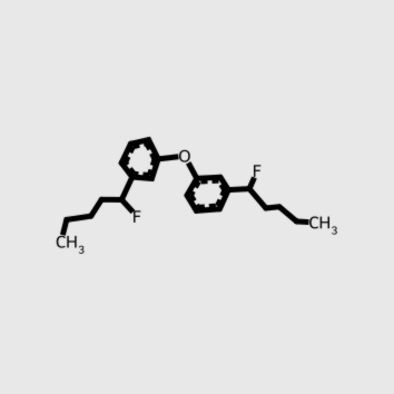 CCCCC(F)c1cccc(Oc2cccc(C(F)CCCC)c2)c1